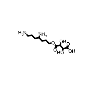 NCCCC(N)CCCOC(=O)C(O)C(O)C(=O)O